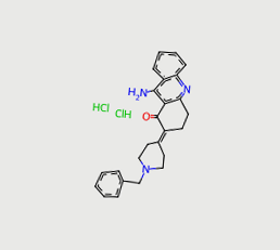 Cl.Cl.Nc1c2c(nc3ccccc13)CCC(=C1CCN(Cc3ccccc3)CC1)C2=O